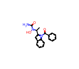 CC(c1cc2ccccc2n1C(=O)c1ccccc1)N(O)C(N)=O